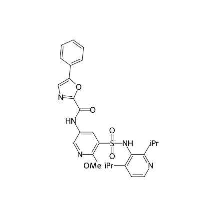 COc1ncc(NC(=O)c2ncc(-c3ccccc3)o2)cc1S(=O)(=O)Nc1c(C(C)C)ccnc1C(C)C